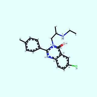 CCNC(C)Cn1c(-c2ccc(C)cc2)nc2ccc(Cl)cc2c1=O